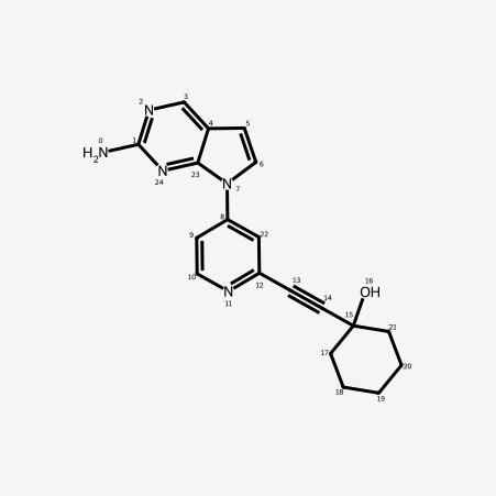 Nc1ncc2ccn(-c3ccnc(C#CC4(O)CCCCC4)c3)c2n1